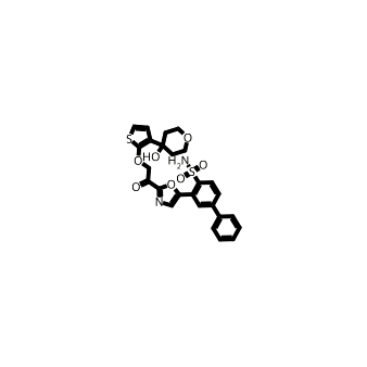 NS(=O)(=O)c1ccc(-c2ccccc2)cc1-c1cnc(C(=O)COc2sccc2C2(O)CCOCC2)o1